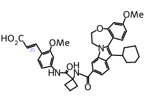 COc1ccc2c(c1)OCCn1c-2c(C2CCCCC2)c2ccc(C(=O)NC3(C(=O)Nc4ccc(/C=C/C(=O)O)c(OC)c4)CCC3)cc21